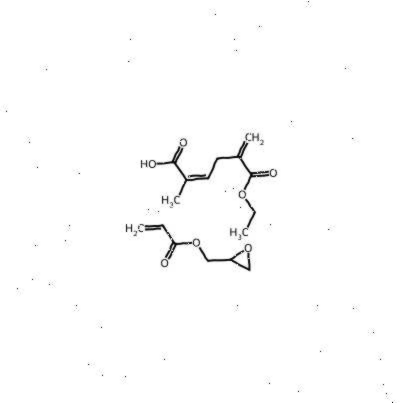 C=C(CC=C(C)C(=O)O)C(=O)OCC.C=CC(=O)OCC1CO1